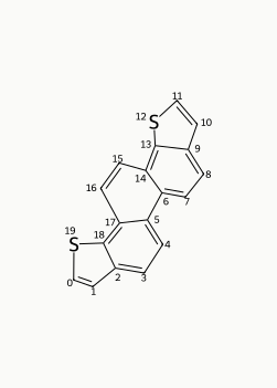 c1cc2ccc3c4ccc5ccsc5c4ccc3c2s1